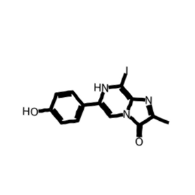 Cc1nc2c(I)[nH]c(-c3ccc(O)cc3)cn-2c1=O